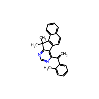 C=C(c1ccccc1C)c1ncnc2c1-c1ccc3ccccc3c1C2(C)C